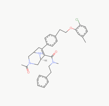 CC(=O)N1CC2CC(c3ccc(CCOc4cc(C)ccc4Cl)cc3)=C(C(=O)N(C)CCc3ccccc3)[C@@H](C1)N2